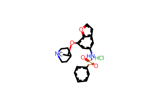 Cl.O=S(=O)(Nc1cc(OC2CN3CCC2CC3)c2occc2c1)c1ccccc1